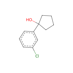 OC1(c2cccc(Cl)c2)CCCC1